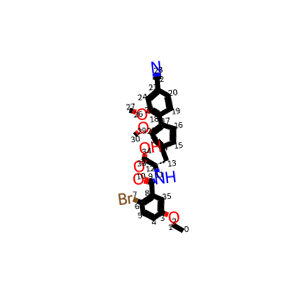 CCOc1ccc(Br)c(C(=O)N[C@@H](Cc2ccc(-c3ccc(C#N)cc3OC)c(OC)c2)C(=O)O)c1